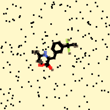 CC(C)NC(Cc1cccc(C(C)(F)F)c1)C(=O)O